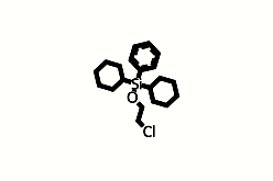 ClCCO[Si](c1ccccc1)(C1CCCCC1)C1CCCCC1